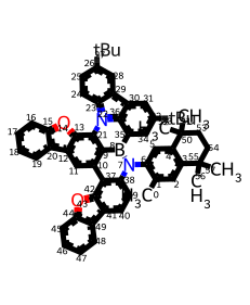 Cc1cc2c(cc1N1B3c4c(cc5c(oc6ccccc65)c4-n4c5ccc(C(C)(C)C)cc5c5cc(C(C)(C)C)cc3c54)-c3c1ccc1c3oc3ccccc31)C(C)(C)CCC2(C)C